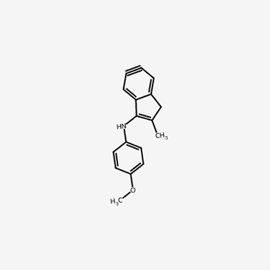 COc1ccc(NC2=C(C)Cc3cc#ccc32)cc1